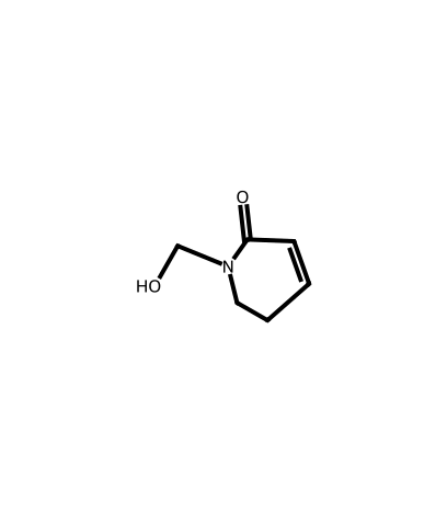 O=C1C=CCCN1CO